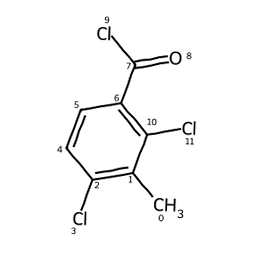 Cc1c(Cl)ccc(C(=O)Cl)c1Cl